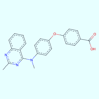 Cc1nc(N(C)c2ccc(Oc3ccc(C(=O)O)cc3)cc2)c2ccccc2n1